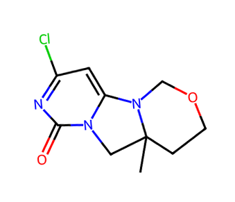 CC12CCOCN1c1cc(Cl)nc(=O)n1C2